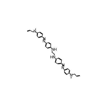 C=CCN(C)c1ccc(/N=N/c2ccc(NCCNc3ccc(/N=N/c4ccc(N(C)CC=C)cc4)cc3)cc2)cc1